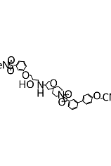 CNS(=O)(=O)c1cccc(OCC(O)CN[C@H]2COC3(CCN(S(=O)(=O)c4cccc(-c5ccc(OCC#N)cc5)c4)CC3)C2)c1